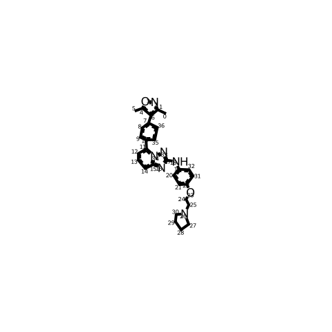 Cc1noc(C)c1-c1ccc(-c2cccc3nc(Nc4ccc(OCCN5CCCC5)cc4)nn23)cc1